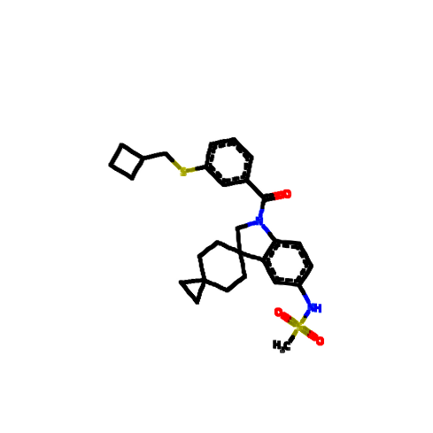 CS(=O)(=O)Nc1ccc2c(c1)C1(CCC3(CC3)CC1)CN2C(=O)c1cccc(SCC2CCC2)c1